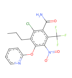 CCCc1c(Cl)c(C(N)=O)c(C(F)(F)F)c([N+](=O)[O-])c1Oc1ccccn1